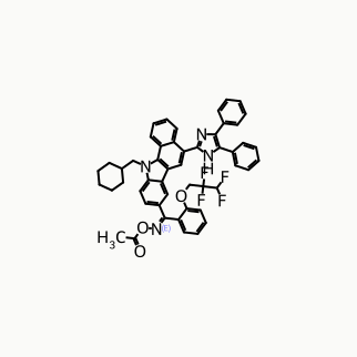 CC(=O)O/N=C(\c1ccc2c(c1)c1cc(-c3nc(-c4ccccc4)c(-c4ccccc4)[nH]3)c3ccccc3c1n2CC1CCCCC1)c1ccccc1OCC(F)(F)C(F)F